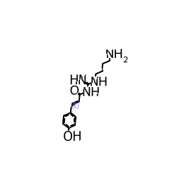 N=C(NCCCCN)NC(=O)/C=C/c1ccc(O)cc1